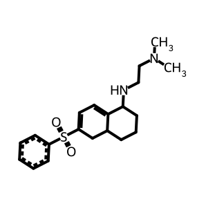 CN(C)CCNC1CCCC2CC(S(=O)(=O)c3ccccc3)=CC=C21